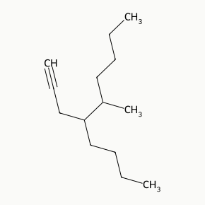 C#CCC(CCCC)C(C)CCCC